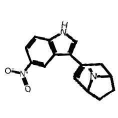 CN1C2C=C(c3c[nH]c4ccc([N+](=O)[O-])cc34)CC1CC2